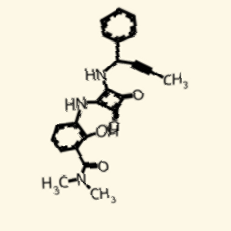 CC#CC(Nc1c(Nc2cccc(C(=O)N(C)C)c2O)c(=O)c1=O)c1ccccc1